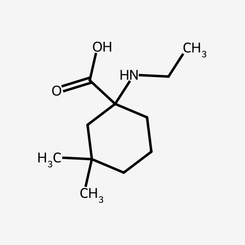 CCNC1(C(=O)O)CCCC(C)(C)C1